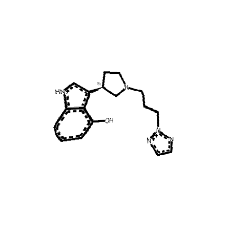 Oc1cccc2[nH]cc([C@H]3CCN(CCCn4nccn4)C3)c12